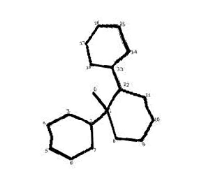 CC1(C2CCCCC2)CCCCC1C1CCCCC1